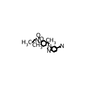 CC(C)CN1C[C@@]2(CCC[C@](C)(Cn3cnc4ccc(C#N)cc43)C2)OC1=O